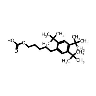 CC(C)(C)c1cc(C(C)(C)C)c(C(C)(C)C)cc1CCCCCOC(=O)O